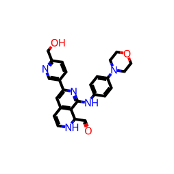 O=CC1NC=Cc2cc(-c3ccc(CO)nc3)nc(Nc3ccc(N4CCOCC4)cc3)c21